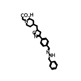 O=C(O)CN1CCC(CC2CC(c3ccc(C=NNCc4ccccc4)cc3)=NO2)CC1